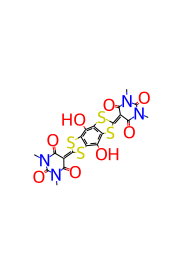 CN1C(=O)C(=C2Sc3c(O)c4c(c(O)c3S2)SC(=C2C(=O)N(C)C(=O)N(C)C2=O)S4)C(=O)N(C)C1=O